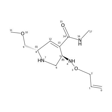 C=CCON[C@H]1CN[C@H](COC)C=C1C(=O)NC